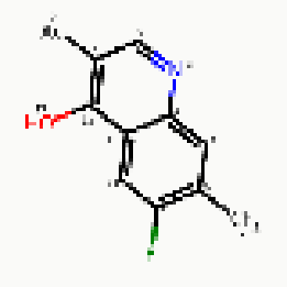 CC(=O)c1cnc2cc(C(F)(F)F)c(F)cc2c1O